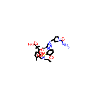 Cc1ccc(C(OCc2cn(CC3CCN(C(N)=O)CC3)nn2)C(C)(C)C(=O)O)cc1CN1CC(C)Oc2ccccc2S1(O)O